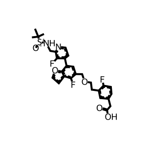 CC(C)(C)[S+]([O-])NCc1nccc(-c2cc(COCCc3cc(CC(=O)O)ccc3F)c(F)c3ccoc23)c1F